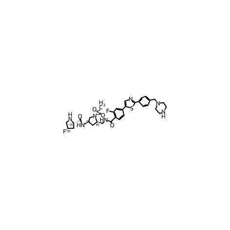 CS(=O)(=O)N1C[C@H](NC(=O)[C@@H]2C[C@H](F)CN2)C[C@@H]1CNC(=O)c1ccc(-c2cnc(-c3ccc(CN4CCNCC4)cc3)s2)cc1F